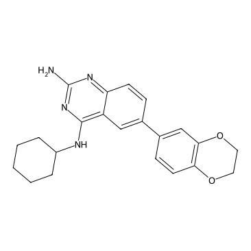 Nc1nc(NC2CCCCC2)c2cc(-c3ccc4c(c3)OCCO4)ccc2n1